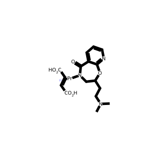 CC(C)N1CC(CCN(C)C)Oc2ncccc2C1=O.O=C(O)/C=C/C(=O)O